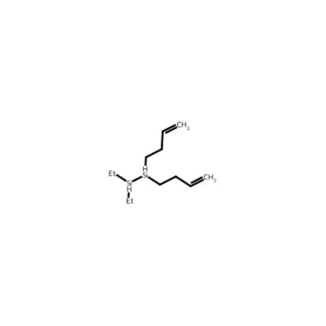 C=CCC[SiH](CCC=C)[SiH](CC)CC